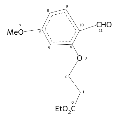 CCOC(=O)CCOc1cc(OC)ccc1C=O